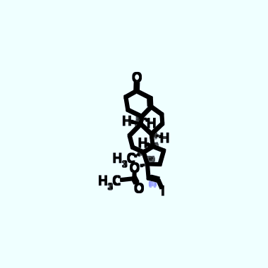 CC(=O)O[C@@]1(/C=C/I)CC[C@H]2[C@@H]3CCC4=CC(=O)CC[C@@H]4[C@H]3CC[C@@]21C